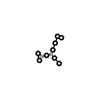 c1ccc(-c2ccc(N(c3ccc(-c4ccc(-c5cccc6ccccc56)cc4)cc3)c3ccc(-n4c5ccccc5c5ccccc54)cc3)cc2)cc1